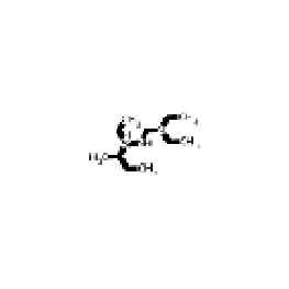 CCC(C)[SiH](CC)NCN(CC)CC